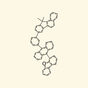 CC1(C)c2ccc(-c3cccc(-c4c5ccccc5c(-c5cccc6c5oc5ccccc56)c5ccccc45)c3)cc2-c2ccc3ccccc3c21